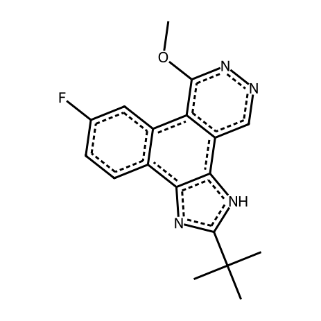 COc1nncc2c3[nH]c(C(C)(C)C)nc3c3ccc(F)cc3c12